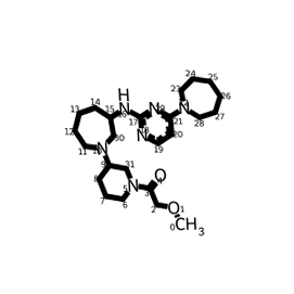 COCC(=O)N1CCCC(N2CCCCC(Nc3nccc(N4CCCCCC4)n3)C2)C1